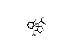 O=C(O)NC1(c2ccccc2F)COCC1CO